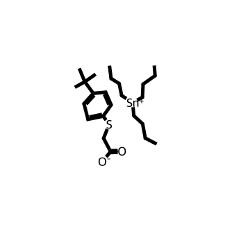 CC(C)(C)c1ccc(SCC(=O)[O-])cc1.CCC[CH2][Sn+]([CH2]CCC)[CH2]CCC